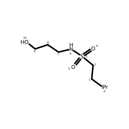 CC(C)CCS(=O)(=O)NCCCO